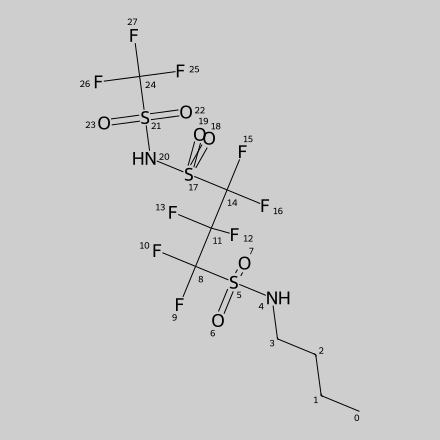 CCCCNS(=O)(=O)C(F)(F)C(F)(F)C(F)(F)S(=O)(=O)NS(=O)(=O)C(F)(F)F